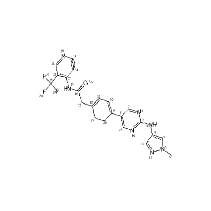 Cn1cc(Nc2ncc(C3=CC=C(CC(=O)Nc4c#cncc4C(F)(F)F)CC3)cn2)cn1